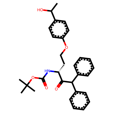 CC(O)c1ccc(OCC[C@@H](NC(=O)OC(C)(C)C)C(=O)C(c2ccccc2)c2ccccc2)cc1